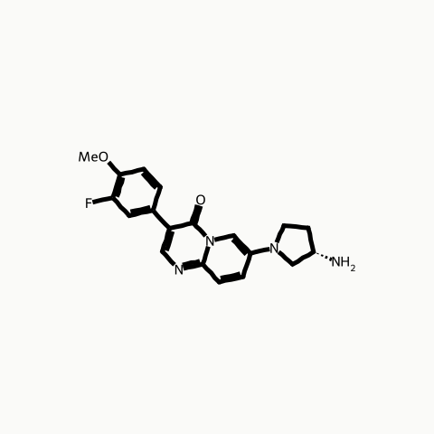 COc1ccc(-c2cnc3ccc(N4CC[C@H](N)C4)cn3c2=O)cc1F